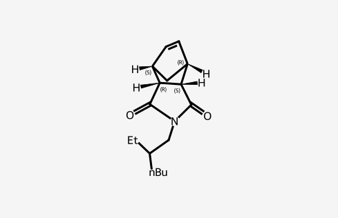 CCCCC(CC)CN1C(=O)[C@@H]2[C@H](C1=O)[C@@H]1C=C[C@H]2C1